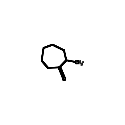 [CH2]C1CCCCCC1=O